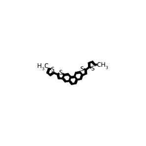 Cc1ccc(-c2cc3cc4ccc5cc6cc(-c7ccc(C)s7)sc6cc5c4cc3s2)s1